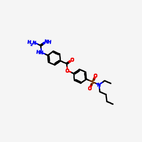 CCCCN(CC)S(=O)(=O)c1ccc(OC(=O)c2ccc(NC(=N)N)cc2)cc1